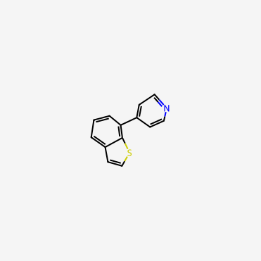 c1cc(-c2ccncc2)c2sccc2c1